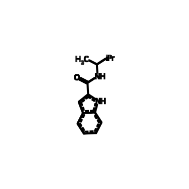 CC(C)C(C)NC(=O)c1cc2ccccc2[nH]1